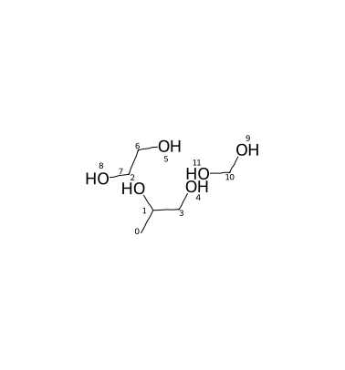 CC(O)CO.OCCO.OCO